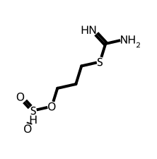 N=C(N)SCCCO[SH](=O)=O